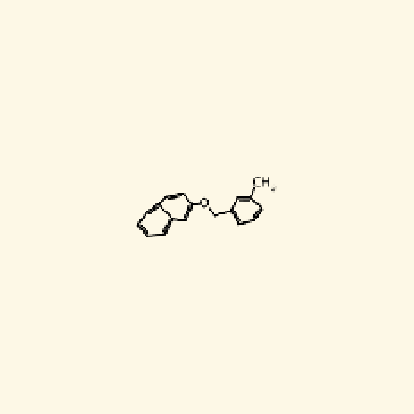 Cc1cccc(COc2ccc3ccccc3c2)c1